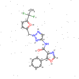 CC(F)(F)c1ccc(Cn2ncc(NC(=O)c3ncoc3-c3ccccc3)n2)o1